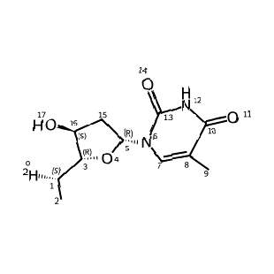 [2H][C@@H](C)[C@H]1O[C@@H](n2cc(C)c(=O)[nH]c2=O)C[C@@H]1O